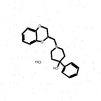 Cl.OC1(c2ccccc2)CCN(CC2COc3ccccc3O2)CC1